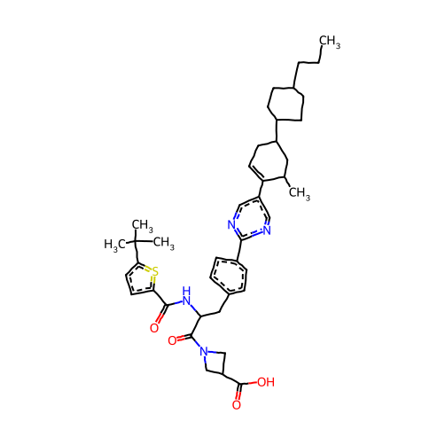 CCCC1CCC(C2CC=C(c3cnc(-c4ccc(CC(NC(=O)c5ccc(C(C)(C)C)s5)C(=O)N5CC(C(=O)O)C5)cc4)nc3)C(C)C2)CC1